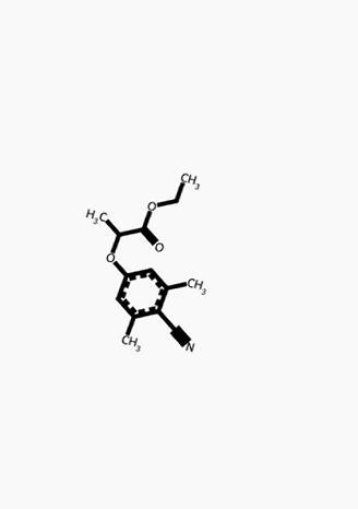 CCOC(=O)C(C)Oc1cc(C)c(C#N)c(C)c1